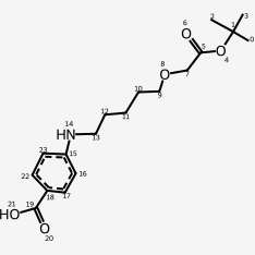 CC(C)(C)OC(=O)COCCCCCNc1ccc(C(=O)O)cc1